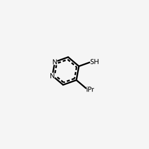 CC(C)c1cnncc1S